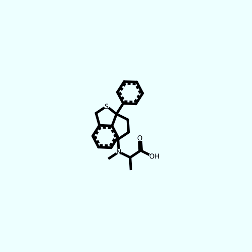 CC(C(=O)O)N(C)CCCC1(c2ccccc2)SCc2ccccc21